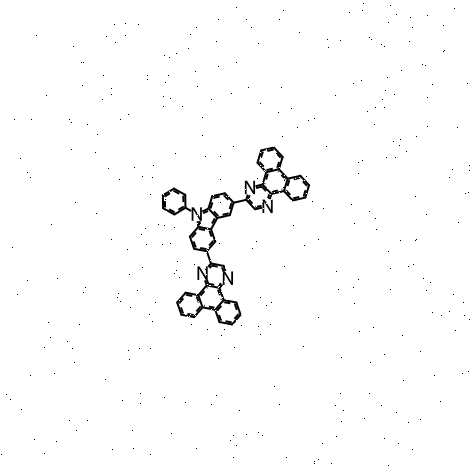 c1ccc(-n2c3ccc(-c4cnc5c6ccccc6c6ccccc6c5n4)cc3c3cc(-c4cnc5c6ccccc6c6ccccc6c5n4)ccc32)cc1